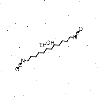 CCO.O=C=NCCCCCCCCCCCCN=C=O